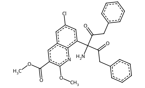 COC(=O)c1cc2cc(Cl)cc(C(N)(C(=O)Cc3ccccc3)C(=O)Cc3ccccc3)c2nc1OC